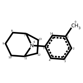 Cc1c[c]cc(N2C3CCCC2CC3)c1